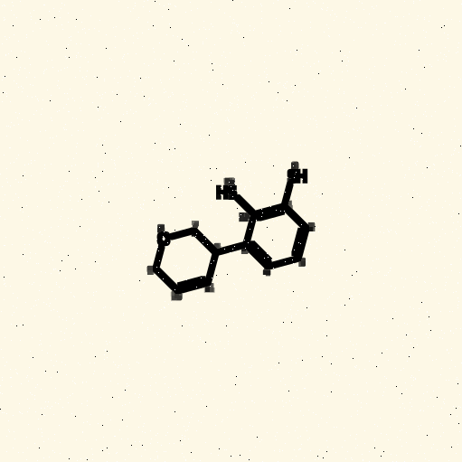 Sc1cccc(C2[CH]OCC=C2)c1S